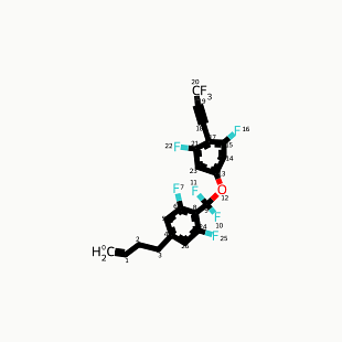 C=CCCc1cc(F)c(C(F)(F)Oc2cc(F)c(C#CC(F)(F)F)c(F)c2)c(F)c1